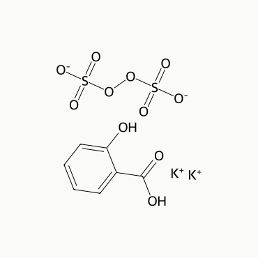 O=C(O)c1ccccc1O.O=S(=O)([O-])OOS(=O)(=O)[O-].[K+].[K+]